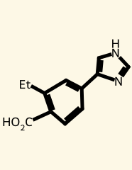 CCc1cc(-c2c[nH]cn2)ccc1C(=O)O